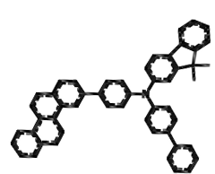 CC1(C)c2ccccc2-c2ccc(N(c3ccc(-c4ccccc4)cc3)c3ccc(-c4ccc5ccc6c7ccccc7ccc6c5c4)cc3)cc21